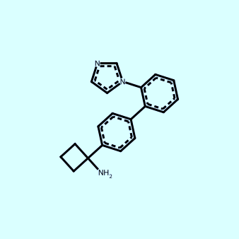 NC1(c2ccc(-c3ccccc3-n3ccnc3)cc2)CCC1